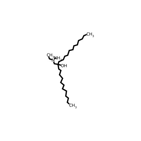 CCCCCCCCCCCCC(O)(CCCCCCCCCCCC)CN(N)CC